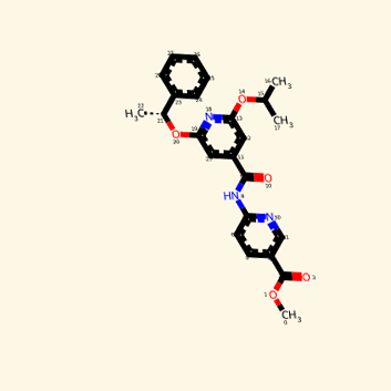 COC(=O)c1ccc(NC(=O)c2cc(OC(C)C)nc(O[C@H](C)c3ccccc3)c2)nc1